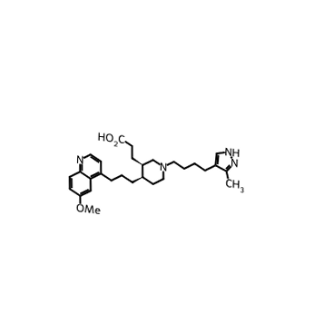 COc1ccc2nccc(CCC[C@@H]3CCN(CCCCc4c[nH]nc4C)C[C@@H]3CCC(=O)O)c2c1